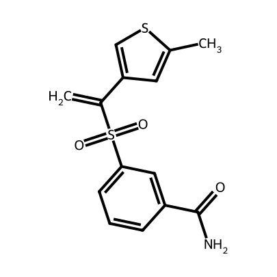 C=C(c1csc(C)c1)S(=O)(=O)c1cccc(C(N)=O)c1